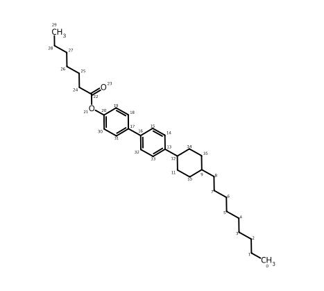 CCCCCCCCCC1CCC(c2ccc(-c3ccc(OC(=O)CCCCCC)cc3)cc2)CC1